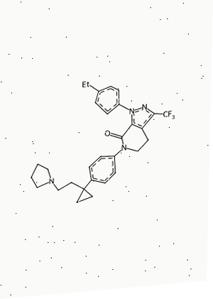 CCc1ccc(-n2nc(C(F)(F)F)c3c2C(=O)N(c2ccc(C4(CCN5CCCC5)CC4)cc2)CC3)cc1